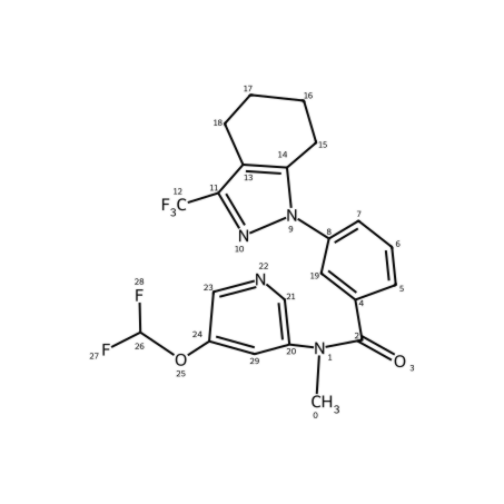 CN(C(=O)c1cccc(-n2nc(C(F)(F)F)c3c2CCCC3)c1)c1cncc(OC(F)F)c1